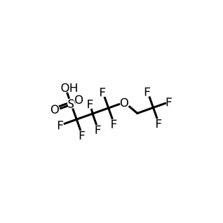 O=S(=O)(O)C(F)(F)C(F)(F)C(F)(F)OCC(F)(F)F